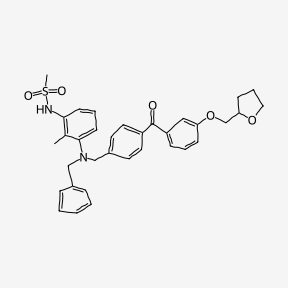 Cc1c(NS(C)(=O)=O)cccc1N(Cc1ccccc1)Cc1ccc(C(=O)c2cccc(OCC3CCCO3)c2)cc1